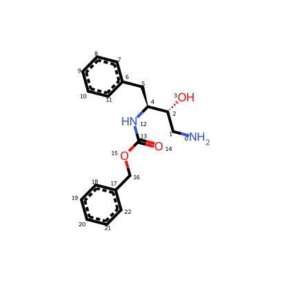 NC[C@@H](O)[C@H](Cc1ccccc1)NC(=O)OCc1ccccc1